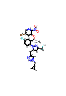 C[C@@H](Oc1cc(Br)cnc1[N+](=O)[O-])c1cc(F)ccc1-n1nc(C(F)F)cc1Cc1cn(CC2CC2)nn1